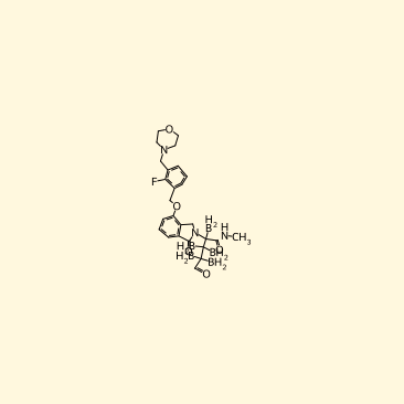 BC(B)(C=O)C(B)(B)C(B)(C(=O)NC)N1Cc2c(OCc3cccc(CN4CCOCC4)c3F)cccc2C1=O